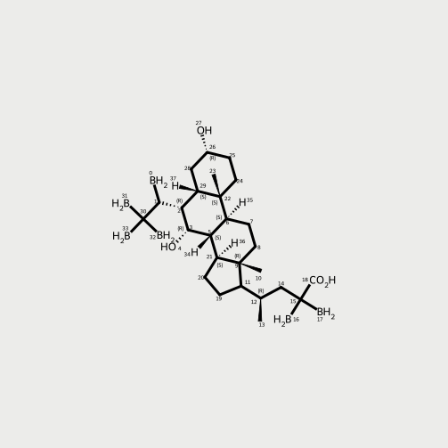 BC([C@H]1[C@@H](O)[C@@H]2[C@H](CC[C@]3(C)C([C@H](C)CC(B)(B)C(=O)O)CC[C@@H]23)[C@@]2(C)CC[C@@H](O)C[C@@H]12)C(B)(B)B